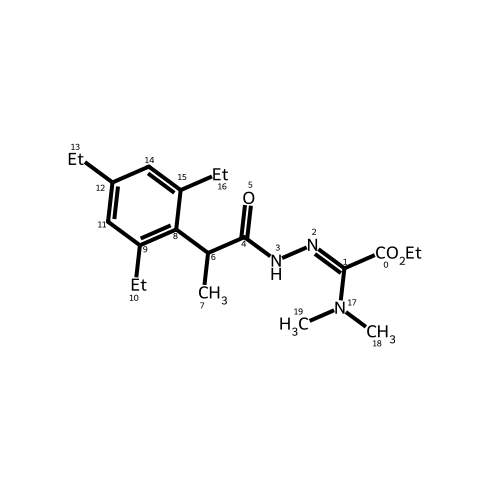 CCOC(=O)C(=NNC(=O)C(C)c1c(CC)cc(CC)cc1CC)N(C)C